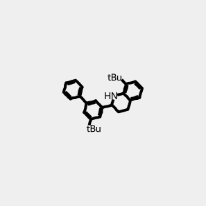 CC(C)(C)c1cc(-c2ccccc2)cc(C2CCc3cccc(C(C)(C)C)c3N2)c1